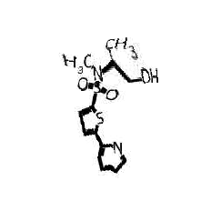 C[C@H](CO)N(C)S(=O)(=O)c1ccc(-c2ccccn2)s1